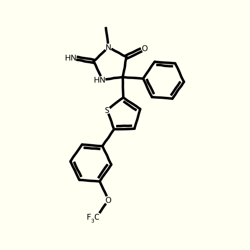 CN1C(=N)NC(c2ccccc2)(c2ccc(-c3cccc(OC(F)(F)F)c3)s2)C1=O